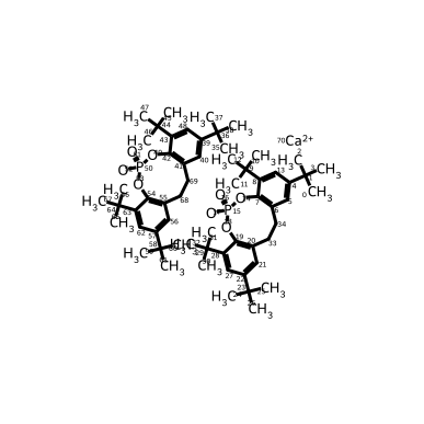 CC(C)(C)c1cc2c(c(C(C)(C)C)c1)OP(=O)([O-])Oc1c(cc(C(C)(C)C)cc1C(C)(C)C)CC2.CC(C)(C)c1cc2c(c(C(C)(C)C)c1)OP(=O)([O-])Oc1c(cc(C(C)(C)C)cc1C(C)(C)C)CC2.[Ca+2]